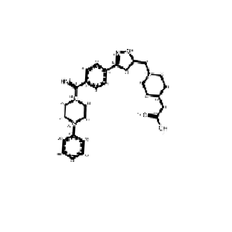 N=C(c1ccc(C2=NOC(CN3CCC(CC(=O)O)CC3)C2)cc1)N1CCN(c2ccccc2)CC1